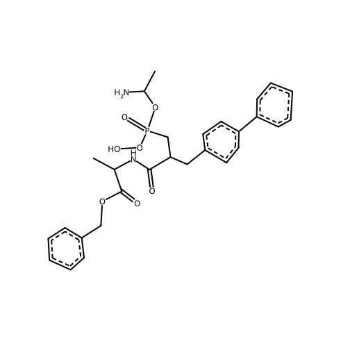 CC(N)OP(=O)(CC(Cc1ccc(-c2ccccc2)cc1)C(=O)NC(C)C(=O)OCc1ccccc1)OO